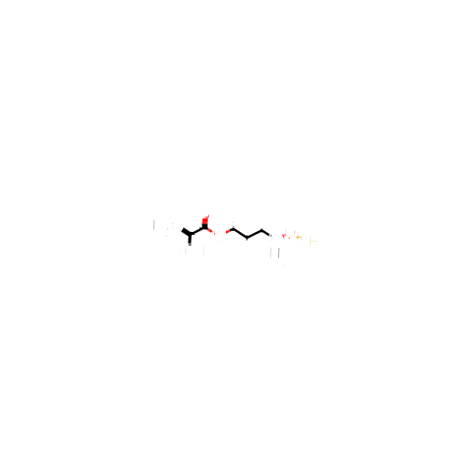 C=C(C)C(=O)OCCC[SiH2]OS